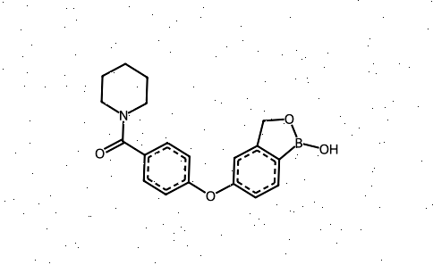 O=C(c1ccc(Oc2ccc3c(c2)COB3O)cc1)N1CCCCC1